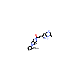 C=C1CN(C)Cc2cc(/C=C/C(=O)N3C[C@H]4CN(c5ccccc5OC)C[C@@]4(C)C3)cnc2N1